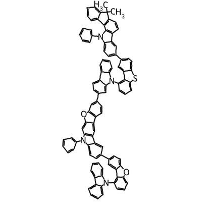 CC1(C)c2ccccc2-c2c1ccc1c3cc(-c4ccc5sc6cccc(-n7c8ccccc8c8ccc(-c9ccc%10c(c9)oc9cc%11c(cc9%10)c9cc(-c%10ccc%12oc%13cccc(-n%14c%15ccccc%15c%15ccccc%15%14)c%13c%12c%10)ccc9n%11-c9ccccc9)cc87)c6c5c4)ccc3n(-c3ccccc3)c21